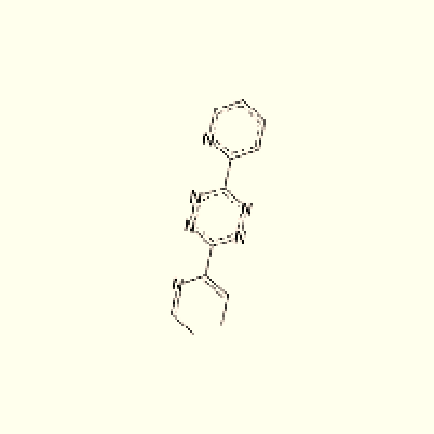 C/C=N\C(=C/C)c1nnc(-c2ccccn2)nn1